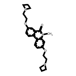 Cn1c(=O)c2cc(OCCN3CCC3)ccc2c2ccc(OCCN3CCC3)cc21